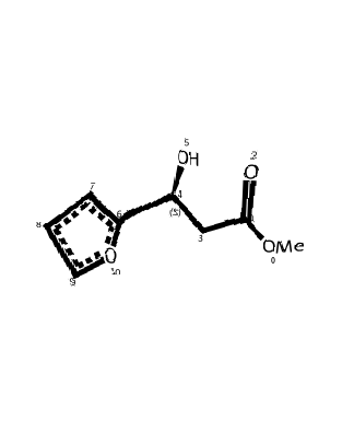 COC(=O)C[C@H](O)c1ccco1